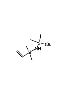 C=C[Si](C)(C)N[Si](C)(C)C(C)(C)C